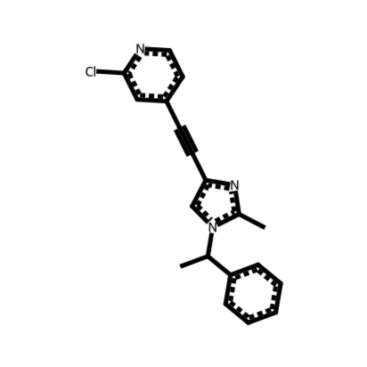 Cc1nc(C#Cc2ccnc(Cl)c2)cn1C(C)c1ccccc1